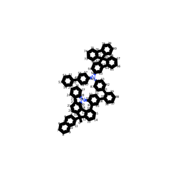 CC1(c2ccc3ccccc3c2)c2cccc3c2-c2c1ccc1c4ccccc4n(c21)-c1ccc(-c2ccccc2-c2ccc(N(c4ccc(-c5ccccc5)cc4)c4ccc5c(c4)-c4ccccc4C54c5ccccc5-c5ccccc54)cc2)cc1-3